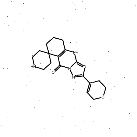 O=c1c2c([nH]c3nc(C4=CCOCC4)nn13)CCCC21CCNCC1